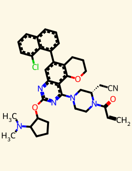 C=CC(=O)N1CCN(c2nc(OC3CCCC3N(C)C)nc3cc(-c4cccc5cccc(Cl)c45)c4c(c23)OCCC4)C[C@@H]1CC#N